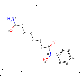 NC(=O)CCCCCCC(=O)N(O)c1ccccc1